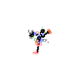 CC(C)(C#Cc1ccc(-c2ccc(Cl)c3c(N(C(=O)OCCCCCO)S(C)(=O)=O)nn(CC(F)(F)F)c23)c([C@H](Cc2cc(F)cc(F)c2)NC(=O)Cn2nc(C(F)(F)F)c3c2C(F)(F)[C@@H]2C[C@H]32)n1)S(C)(=O)=O